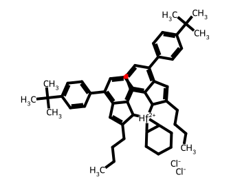 CCCCC1=Cc2c(-c3ccc(C(C)(C)C)cc3)cccc2[CH]1[Hf+2]1([CH]2C(CCCC)=Cc3c(-c4ccc(C(C)(C)C)cc4)cccc32)[CH]2CCCC[CH]21.[Cl-].[Cl-]